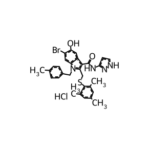 Cc1ccc(Cn2c(CSc3c(C)cc(C)cc3C)c(C(=O)Nc3cc[nH]n3)c3cc(O)c(Br)cc32)cc1.Cl